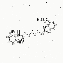 CCOC(=O)c1cccc2nc(SCCCCCC(=O)Nc3c(C(C)C)cccc3C(C)C)oc12